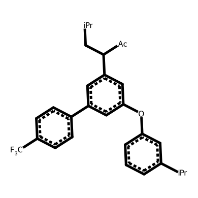 CC(=O)C(CC(C)C)c1cc(Oc2cccc(C(C)C)c2)cc(-c2ccc(C(F)(F)F)cc2)c1